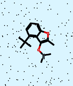 Cc1oc2cccc(C(C)(C)C)c2c1O[SiH](C)C